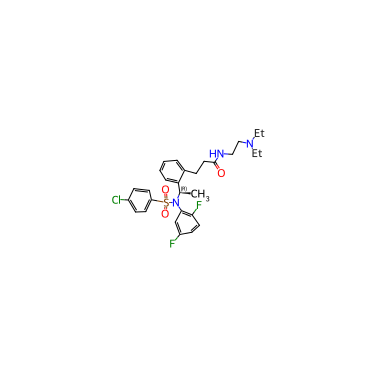 CCN(CC)CCNC(=O)CCc1ccccc1[C@@H](C)N(c1cc(F)ccc1F)S(=O)(=O)c1ccc(Cl)cc1